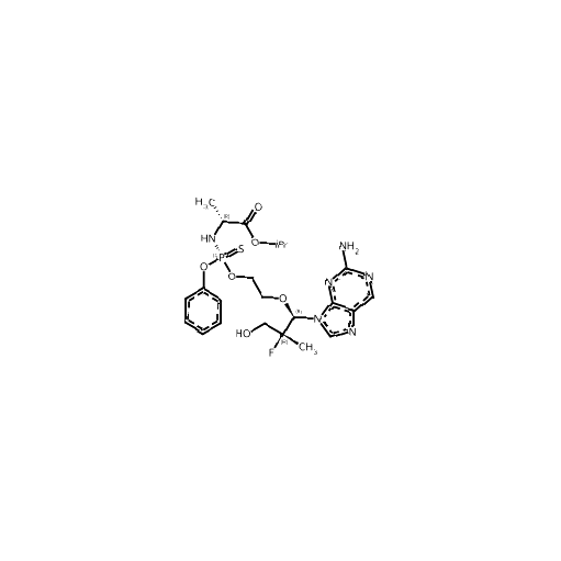 CC(C)OC(=O)[C@@H](C)N[P@](=S)(OCCO[C@@H](n1cnc2cnc(N)nc21)[C@](C)(F)CO)Oc1ccccc1